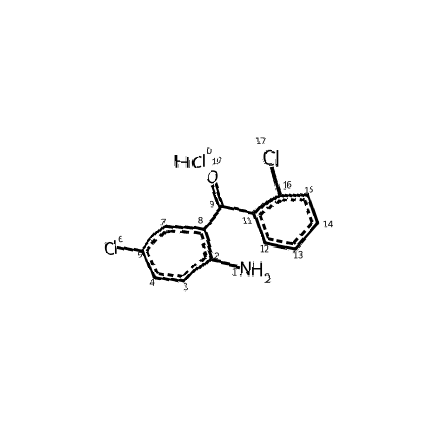 Cl.Nc1ccc(Cl)cc1C(=O)c1ccccc1Cl